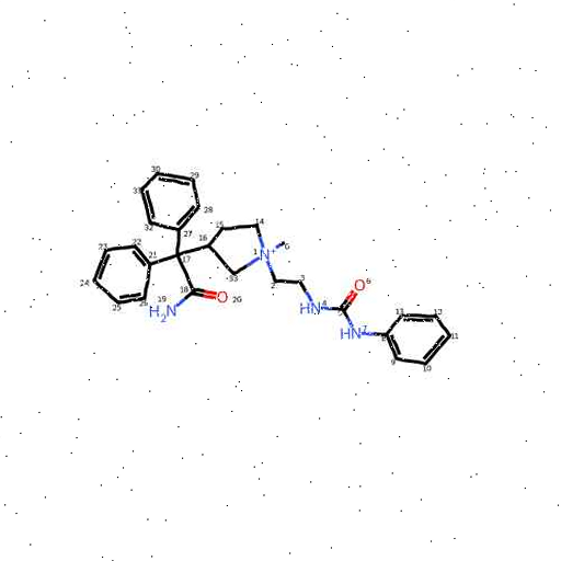 C[N+]1(CCNC(=O)Nc2ccccc2)CCC(C(C(N)=O)(c2ccccc2)c2ccccc2)C1